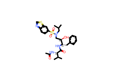 CC(=O)N[C@H](C(=O)N[C@@H](Cc1ccccc1)[C@H](O)CN(CC(C)C)S(=O)(=O)c1ccc2ncsc2c1)C(C)C